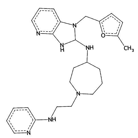 Cc1ccc(CN2c3cccnc3NC2NC2CCCN(CCNc3ccccn3)CC2)o1